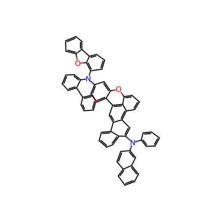 c1ccc(-c2ccccc2N(c2ccc3c(c2)Oc2cccc4c2c-3cc2c3ccccc3c(N(c3ccccc3)c3ccc5ccccc5c3)cc42)c2cccc3c2oc2ccccc23)cc1